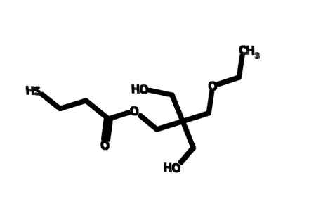 CCOCC(CO)(CO)COC(=O)CCS